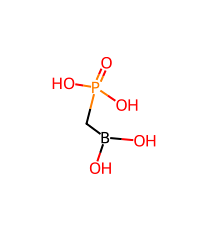 O=P(O)(O)CB(O)O